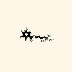 CO[Si](O)(O)CCCCOC(=O)c1c(F)c(F)c(F)c(F)c1F